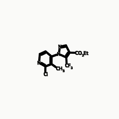 CCOC(=O)c1cnn(-c2ccnc(Cl)c2C)c1C(F)(F)F